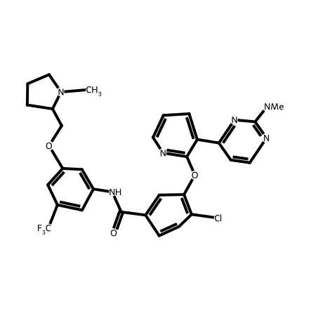 CNc1nccc(-c2cccnc2Oc2cc(C(=O)Nc3cc(OCC4CCCN4C)cc(C(F)(F)F)c3)ccc2Cl)n1